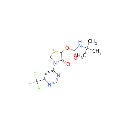 CC(C)(C)NC(=O)OC1SCN(c2cc(C(F)(F)F)ncn2)C1=O